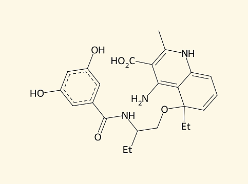 CCC(COC1(CC)C=CC=C2NC(C)=C(C(=O)O)C(N)=C21)NC(=O)c1cc(O)cc(O)c1